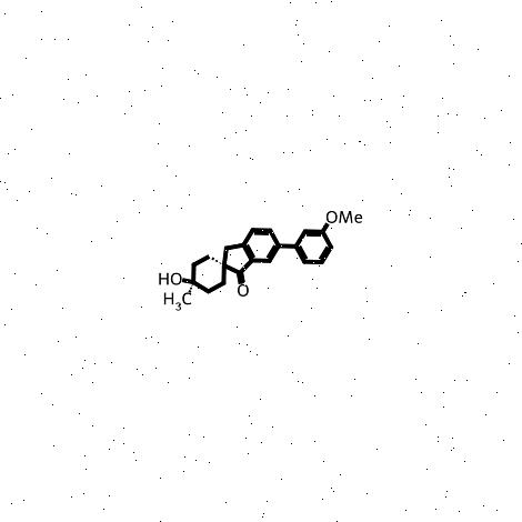 COc1cccc(-c2ccc3c(c2)C(=O)[C@]2(CC[C@](C)(O)CC2)C3)c1